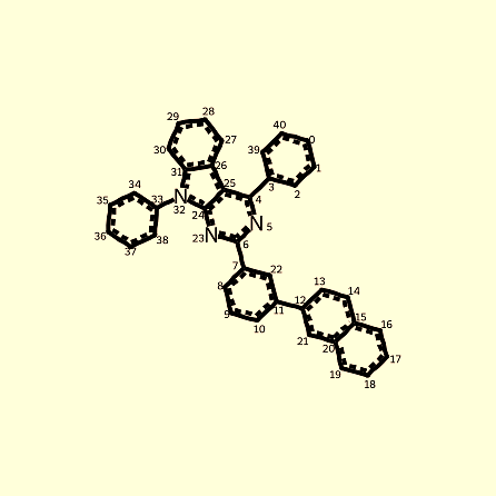 c1ccc(-c2nc(-c3cccc(-c4ccc5ccccc5c4)c3)nc3c2c2ccccc2n3-c2ccccc2)cc1